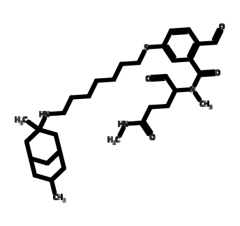 CNC(=O)CCC(C=O)N(C)C(=O)c1cc(SCCCCCCCNC2(C)CC3CC(C)CC(C3)C2)ccc1C=O